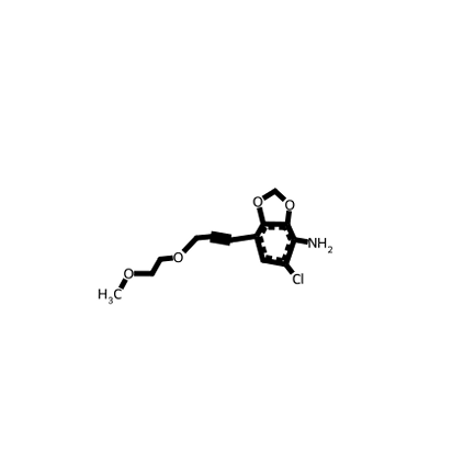 COCCOCC#Cc1cc(Cl)c(N)c2c1OCO2